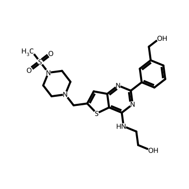 CS(=O)(=O)N1CCN(Cc2cc3nc(-c4cccc(CO)c4)nc(NCCO)c3s2)CC1